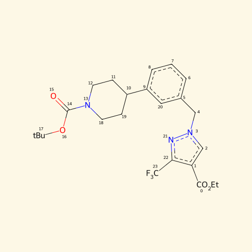 CCOC(=O)c1cn(Cc2cccc(C3CCN(C(=O)OC(C)(C)C)CC3)c2)nc1C(F)(F)F